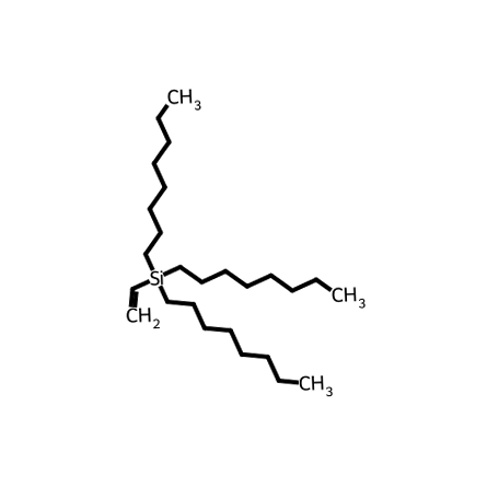 C=C[Si](CCCCCCCC)(CCCCCCCC)CCCCCCCC